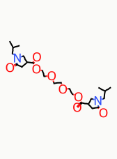 CC(C)CN1CC(C(=O)OCCOCCOCCOC(=O)C2CC(=O)N(CC(C)C)C2)CC1=O